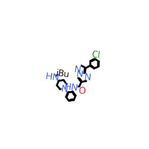 CCC(C)NC1CCN(c2ccccc2NC(=O)c2cnc3c(-c4cccc(Cl)c4)cnn3c2)CC1